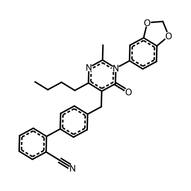 CCCCc1nc(C)n(-c2ccc3c(c2)OCO3)c(=O)c1Cc1ccc(-c2ccccc2C#N)cc1